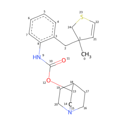 CC1(Cc2ccccc2NC(=O)OC2CN3CCC2CC3)C=CSC1